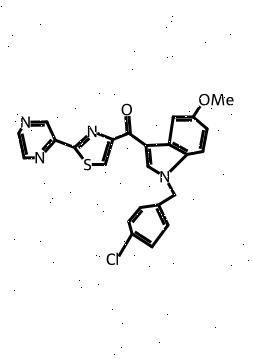 COc1ccc2c(c1)c(C(=O)c1csc(-c3cnccn3)n1)cn2Cc1ccc(Cl)cc1